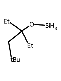 CCC(CC)(CC(C)(C)C)O[SiH3]